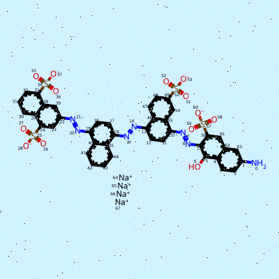 Nc1ccc2c(O)c(N=Nc3ccc(N=Nc4ccc(N=Nc5cc(S(=O)(=O)[O-])c6cccc(S(=O)(=O)[O-])c6c5)c5ccccc45)c4ccc(S(=O)(=O)[O-])cc34)c(S(=O)(=O)[O-])cc2c1.[Na+].[Na+].[Na+].[Na+]